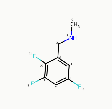 CNCc1cc(F)cc(F)c1F